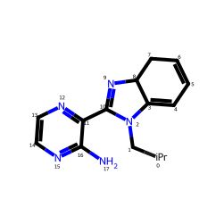 CC(C)CN1C2=CC=CCC2N=C1c1nccnc1N